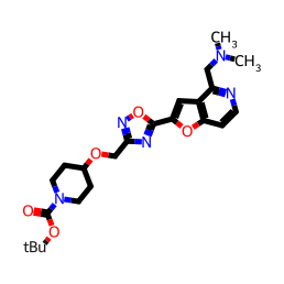 CN(C)Cc1nccc2oc(-c3nc(COC4CCN(C(=O)OC(C)(C)C)CC4)no3)cc12